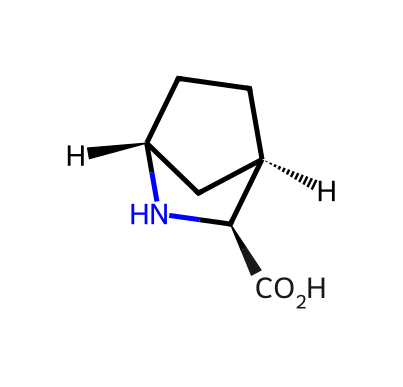 O=C(O)[C@H]1N[C@@H]2CC[C@@H]1C2